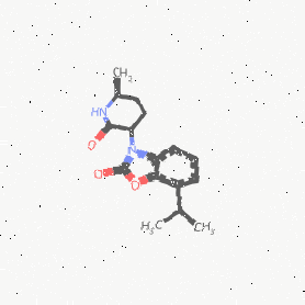 C=C1CCC(n2c(=O)oc3c(C(C)C)cccc32)C(=O)N1